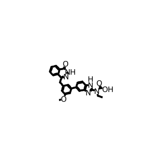 CCN(C(=O)O)c1nc2cc(-c3cc(Cc4n[nH]c(=O)c5ccccc45)cc(OC)c3)ccc2[nH]1